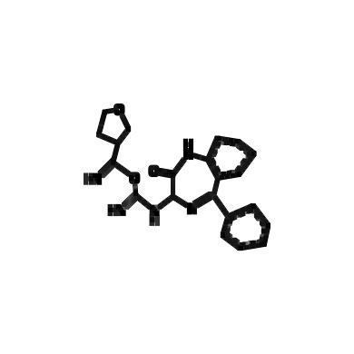 N=C(NC1N=C(c2ccccc2)c2ccccc2NC1=O)OC(=N)C1CCOC1